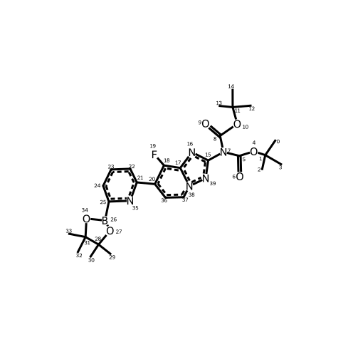 CC(C)(C)OC(=O)N(C(=O)OC(C)(C)C)c1nc2c(F)c(-c3cccc(B4OC(C)(C)C(C)(C)O4)n3)ccn2n1